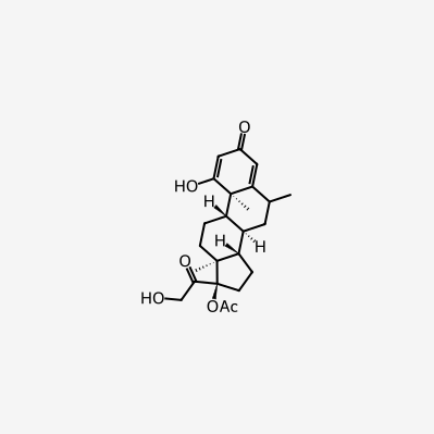 CC(=O)O[C@]1(C(=O)CO)CC[C@H]2[C@@H]3CC(C)C4=CC(=O)C=C(O)[C@]4(C)[C@H]3CC[C@@]21C